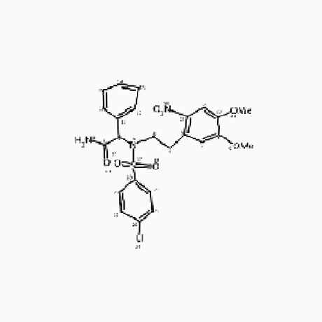 COc1cc(CCN(C(C(N)=O)c2ccccc2)S(=O)(=O)c2ccc(Cl)cc2)c([N+](=O)[O-])cc1OC